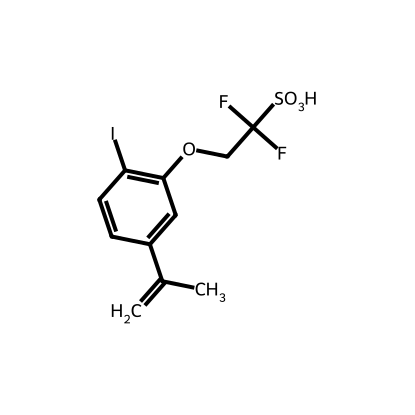 C=C(C)c1ccc(I)c(OCC(F)(F)S(=O)(=O)O)c1